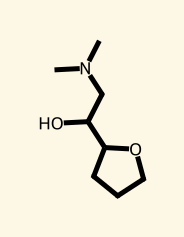 CN(C)CC(O)C1CCCO1